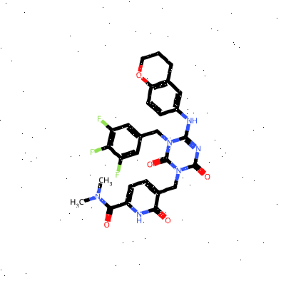 CN(C)C(=O)c1ccc(Cn2c(=O)nc(Nc3ccc4c(c3)CCCO4)n(Cc3cc(F)c(F)c(F)c3)c2=O)c(=O)[nH]1